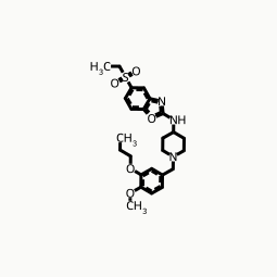 CCCOc1cc(CN2CCC(Nc3nc4cc(S(=O)(=O)CC)ccc4o3)CC2)ccc1OC